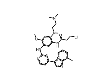 COc1cc(N(C)CCN(C)C)c(NC(=O)CCCl)cc1Nc1nccc(-c2cnc3c(C)cccn23)n1